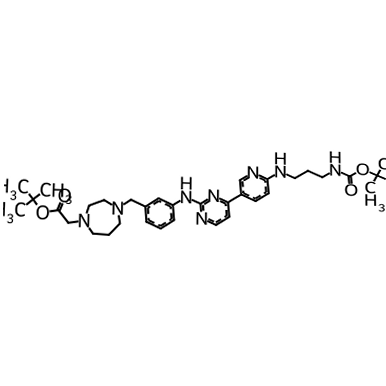 CC(C)(C)OC(=O)CN1CCCN(Cc2cccc(Nc3nccc(-c4ccc(NCCCNC(=O)OC(C)(C)C)nc4)n3)c2)CC1